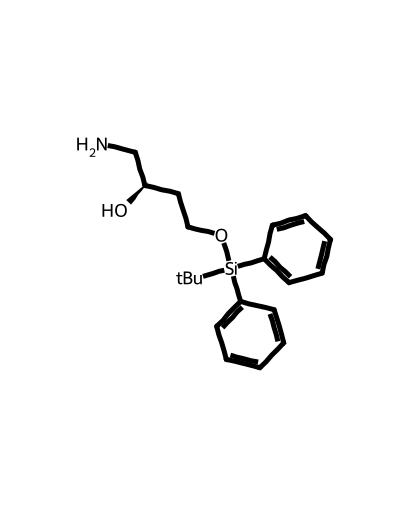 CC(C)(C)[Si](OCC[C@@H](O)CN)(c1ccccc1)c1ccccc1